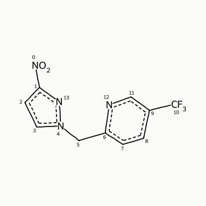 O=[N+]([O-])c1ccn(Cc2ccc(C(F)(F)F)cn2)n1